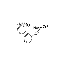 C[N-]C.C[N-]C.[O-]c1ccccc1.[O-]c1ccccc1.[Zr+4]